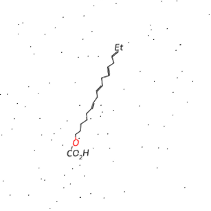 CCC=CCC=CCC=CCC=CCCCCCOCC(=O)O